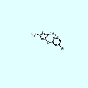 Cn1nc(C(F)(F)F)cc1Oc1cc(Br)cnn1